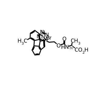 Cc1ccc2[nH]c3c(Br)c2c1-c1cccc-3c1-c1nnnn1CCOC(=O)N[C@@H](C)C(=O)O